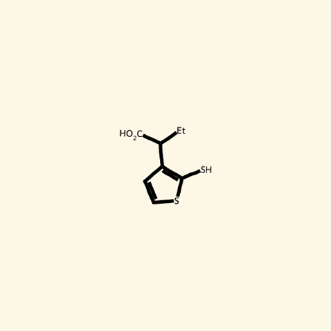 CCC(C(=O)O)c1ccsc1S